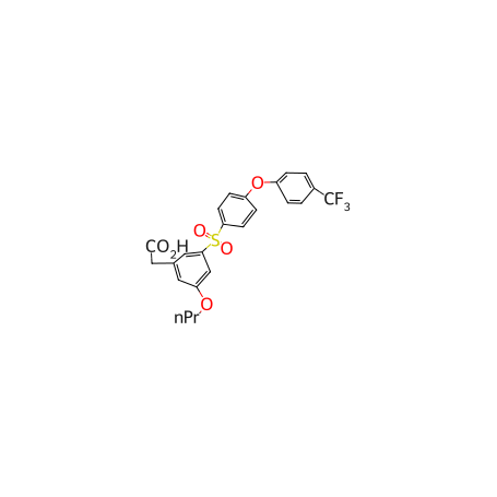 CCCOc1cc(CC(=O)O)cc(S(=O)(=O)c2ccc(Oc3ccc(C(F)(F)F)cc3)cc2)c1